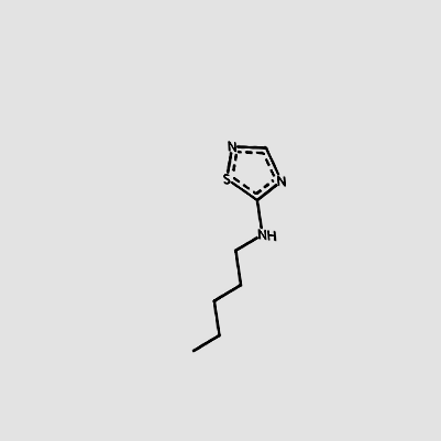 CCCCCNc1ncns1